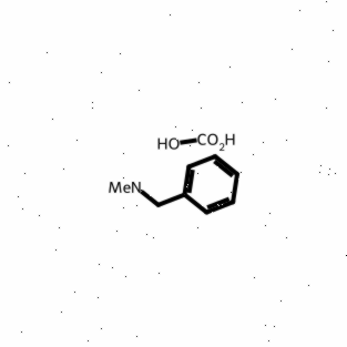 CNCc1ccccc1.O=C(O)O